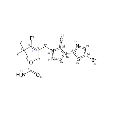 CC(C)(C)/C(F)=C(\COC(N)=O)Cn1ncn(-c2ncc(Br)s2)c1=O